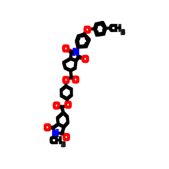 Cc1ccc(Oc2ccc(N3C(=O)C4CCC(C(=O)OC5CCC(OC(=O)C6CCC7C(=O)N(C)C(=O)C7C6)CC5)CC4C3=O)cc2)cc1